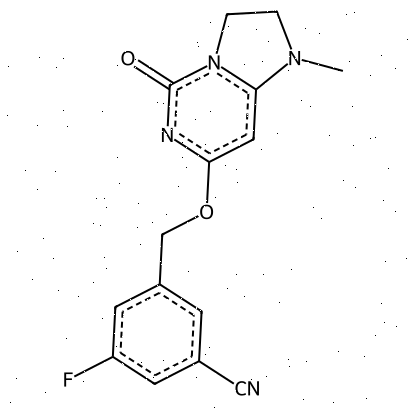 CN1CCn2c1cc(OCc1cc(F)cc(C#N)c1)nc2=O